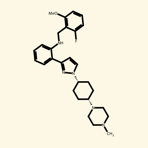 COc1cccc(F)c1CNc1ccccc1-c1ccn([C@H]2CC[C@@H](N3CCN(C)CC3)CC2)n1